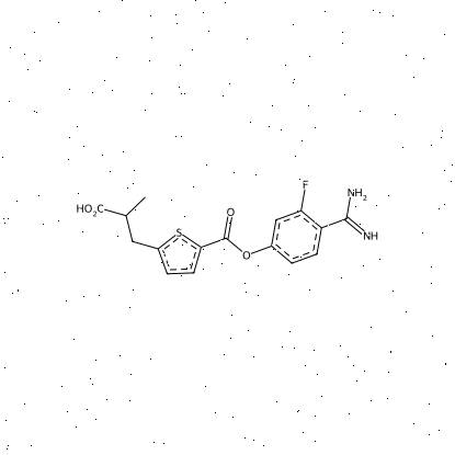 CC(Cc1ccc(C(=O)Oc2ccc(C(=N)N)c(F)c2)s1)C(=O)O